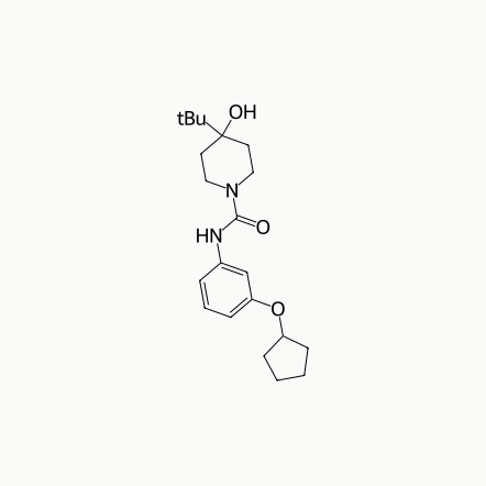 CC(C)(C)C1(O)CCN(C(=O)Nc2cccc(OC3CCCC3)c2)CC1